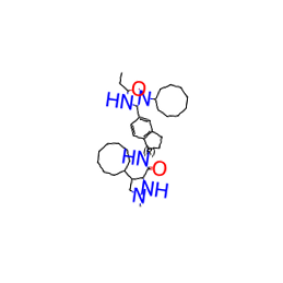 CCC1NC(c2ccc3c(c2)CC[C@H]3NC(=O)C2NN(C)CC2C2CCCCCCCC2)N(C2CCCCCCCC2)O1